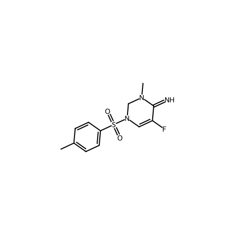 Cc1ccc(S(=O)(=O)N2C=C(F)C(=N)N(C)C2)cc1